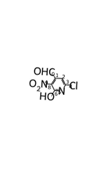 O=Cc1cc(Cl)nc(O)c1[N+](=O)[O-]